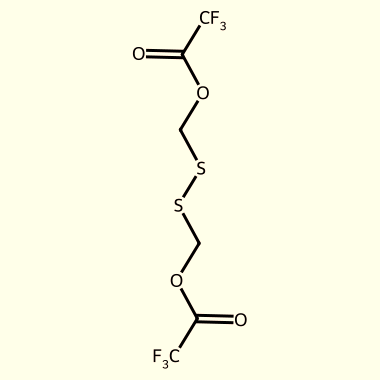 O=C(OCSSCOC(=O)C(F)(F)F)C(F)(F)F